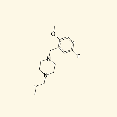 C[CH]CN1CCN(Cc2cc(F)ccc2OC)CC1